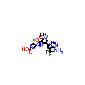 COc1ncc(-c2cc(C(F)(F)F)c3c(N)ncnn23)cc1C(=O)NC1CN(C(=O)O)CC1F